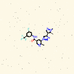 Cc1ncc(C(=O)Nc2cc(F)cc(C(F)(F)F)c2)cc1-n1cc(-c2cnn(C)c2C)nn1